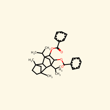 CC(C)C12CC(C(C)C)(C(OC(=O)c3ccccc3)C1OC(=O)c1ccccc1)C1C2C2(C)CCC1(C)C2